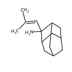 CC(C)=CC1(N)C2CC3CC(C2)CC1C3